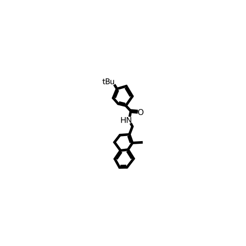 CC1=C(CNC(=O)c2ccc(C(C)(C)C)cc2)CCc2ccccc21